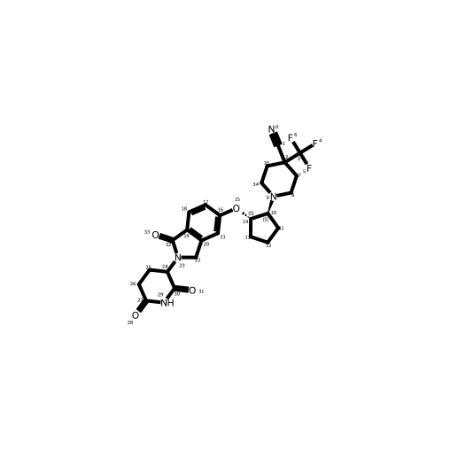 N#CC1(C(F)(F)F)CCN([C@H]2CCC[C@@H]2Oc2ccc3c(c2)CN(C2CCC(=O)NC2=O)C3=O)CC1